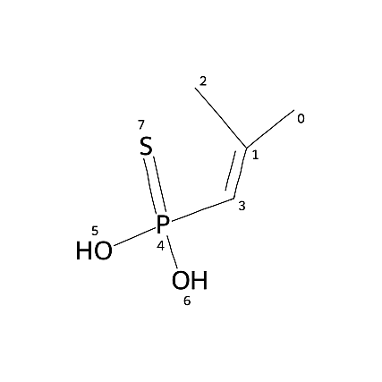 CC(C)=CP(O)(O)=S